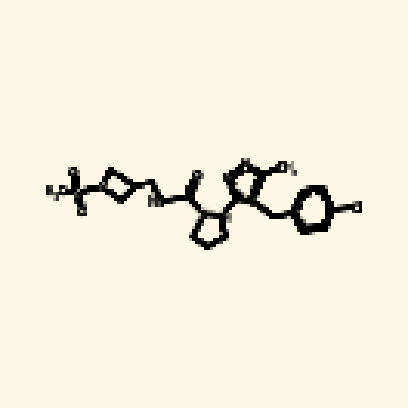 Cc1nnc([C@H]2CCCN2C(=O)NCC2CN(S(C)(=O)=O)C2)n1Cc1ccc(Cl)cc1